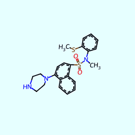 CSc1ccccc1N(C)S(=O)(=O)c1ccc(N2CCNCC2)c2ccccc12